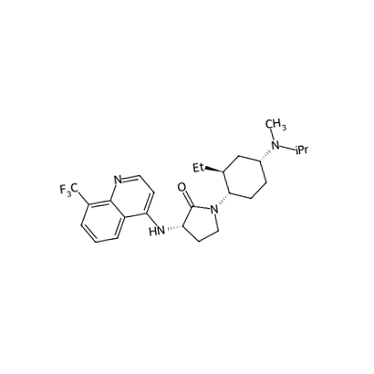 CC[C@H]1C[C@H](N(C)C(C)C)CC[C@@H]1N1CC[C@H](Nc2ccnc3c(C(F)(F)F)cccc23)C1=O